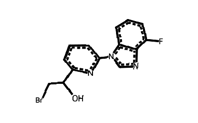 OC(CBr)c1cccc(-n2cnc3c(F)cccc32)n1